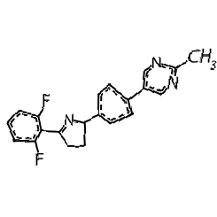 Cc1ncc(-c2ccc(C3CCC(c4c(F)cccc4F)=N3)cc2)cn1